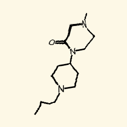 CCCN1CCC(N2CCN(C)CC2=O)CC1